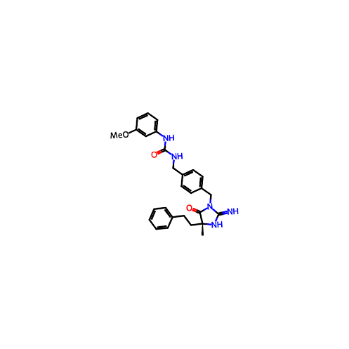 COc1cccc(NC(=O)NCc2ccc(CN3C(=N)N[C@](C)(CCc4ccccc4)C3=O)cc2)c1